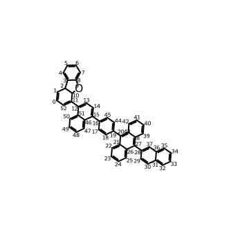 C1=CC2c3ccccc3OC2C(c2ccc(-c3ccc(-c4c5ccccc5c(-c5ccc6ccccc6c5)c5ccccc45)cc3)c3ccccc23)=C1